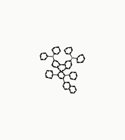 c1ccc(-c2cc(-c3ccc4ccccc4c3)c(-c3ccccc3)c3c4ccc(N(c5ccccc5)c5ccccc5)cc4c4cc(N(c5ccccc5)c5ccccc5)ccc4c23)cc1